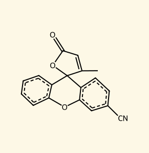 CC1=CC(=O)OC12c1ccccc1Oc1cc(C#N)ccc12